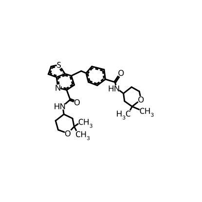 CC1(C)CC(NC(=O)c2ccc(Cc3cc(C(=O)NC4CCOC(C)(C)C4)nc4ccsc34)cc2)CCO1